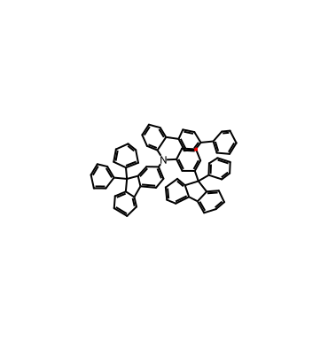 c1ccc(-c2ccc(-c3ccccc3N(c3cccc(C4(c5ccccc5)c5ccccc5-c5ccccc54)c3)c3ccc4c(c3)C(c3ccccc3)(c3ccccc3)c3ccccc3-4)cc2)cc1